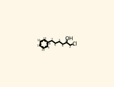 OC(CCl)CCCCc1ccccc1